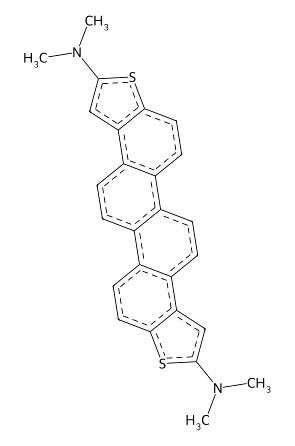 CN(C)c1cc2c(ccc3c2ccc2c4ccc5sc(N(C)C)cc5c4ccc32)s1